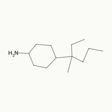 CCCC(C)(CC)C1CCC(N)CC1